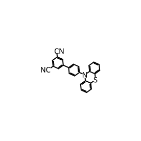 N#Cc1cc(C#N)cc(-c2ccc(N3c4ccccc4Sc4ccccc43)cc2)c1